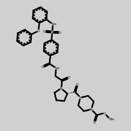 CC(C)(C)OC(=O)N1CCN(C(=O)[C@@H]2CCCN2C(=O)CNC(=O)c2ccc(S(=O)(=O)Nc3ccccc3Oc3ccccc3)cc2)CC1